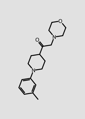 Cc1cccc(N2CCC(C(=O)CN3CCOCC3)CC2)c1